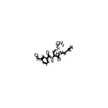 CSCC(NC(=O)c1cccc(CCl)c1)C(=O)NCC#N